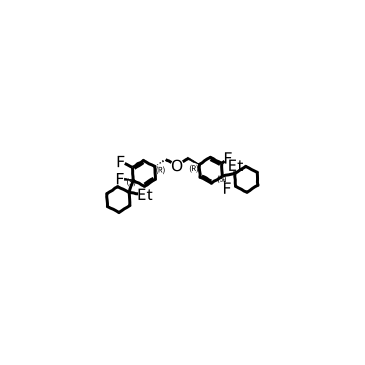 CCC1([C@@]2(F)C=C[C@@H](COC[C@@H]3C=C[C@](F)(C4(CC)CCCCC4)C(F)=C3)C=C2F)CCCCC1